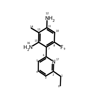 CCc1cccc(-c2c(F)cc(N)c(C)c2N)n1